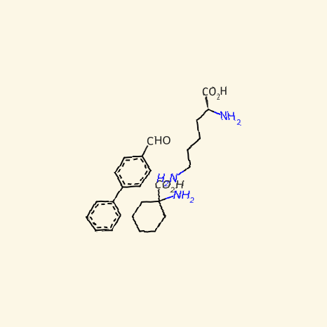 NC1(C(=O)O)CCCCC1.NCCCC[C@H](N)C(=O)O.O=Cc1ccc(-c2ccccc2)cc1